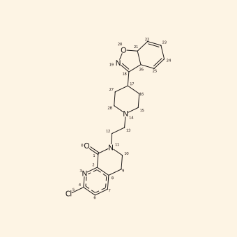 O=C1c2nc(Cl)ccc2CCN1CCN1CCC(C2=NOC3C=CC=CC23)CC1